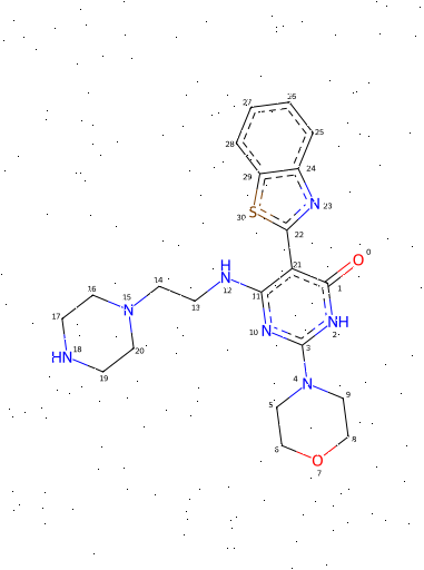 O=c1[nH]c(N2CCOCC2)nc(NCCN2CCNCC2)c1-c1nc2ccccc2s1